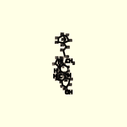 C[C@]12CC[C@H]3[C@@H](CC=C4C[C@@H](O)CC[C@@]43C)[C@@H]1CC[C@@H]2CCCC12CCC(CC1)C2